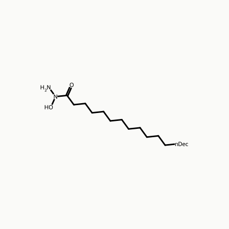 CCCCCCCCCCCCCCCCCCCCCC(=O)N(N)O